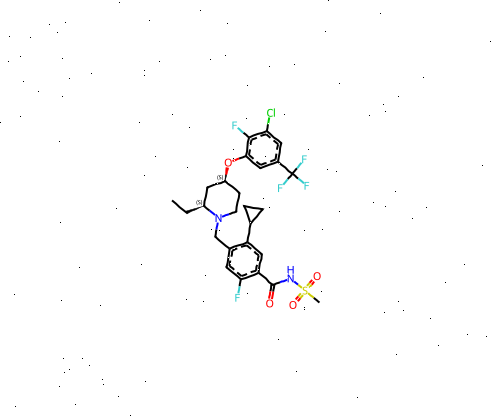 CC[C@H]1C[C@@H](Oc2cc(C(F)(F)F)cc(Cl)c2F)CCN1Cc1cc(F)c(C(=O)NS(C)(=O)=O)cc1C1CC1